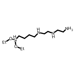 CCO[SiH](CCCCNCCNCCN)OCC